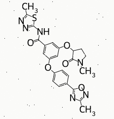 Cc1noc(-c2ccc(Oc3cc(OC4CCN(C)C4=O)cc(C(=O)Nc4nnc(C)s4)c3)cc2)n1